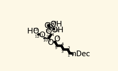 CCCCCCCCCCCCCCCC(=O)O[C@@H](COCO)COP(=O)(O)O